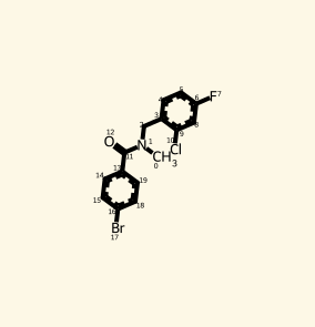 CN(Cc1ccc(F)cc1Cl)C(=O)c1ccc(Br)cc1